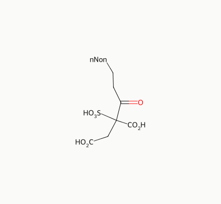 CCCCCCCCCCCC(=O)C(CC(=O)O)(C(=O)O)S(=O)(=O)O